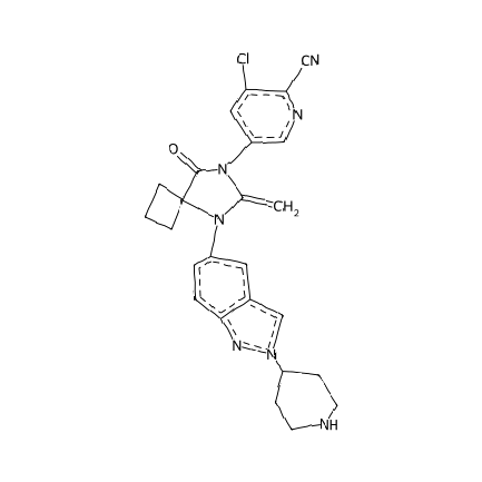 C=C1N(c2cnc(C#N)c(Cl)c2)C(=O)C2(CCC2)N1c1ccc2nn(C3CCNCC3)cc2c1